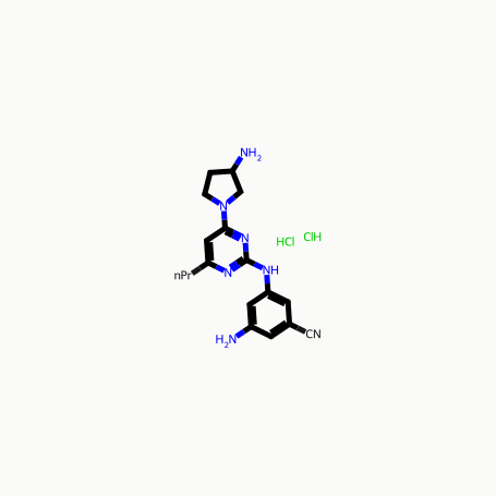 CCCc1cc(N2CCC(N)C2)nc(Nc2cc(N)cc(C#N)c2)n1.Cl.Cl